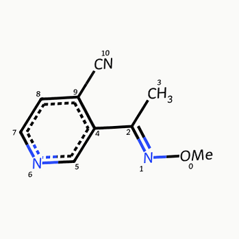 CO/N=C(\C)c1cnccc1C#N